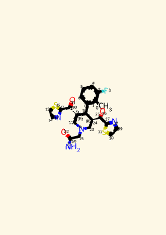 Cc1c(F)cccc1C1[C@@H](C(=O)c2nccs2)CN(CC(N)=O)C[C@@H]1C(=O)c1nccs1